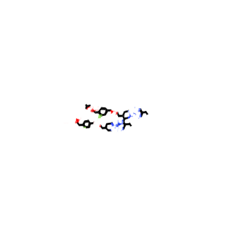 CCc1cnc(N2CCC(CCOCc3ccc(CC(=O)OC(C)(C)C)c(F)c3)C(c3nc(N4CCC(CCOCc5ccc(CC(=O)O)c(F)c5)CC4)ncc3CC)C2)nc1